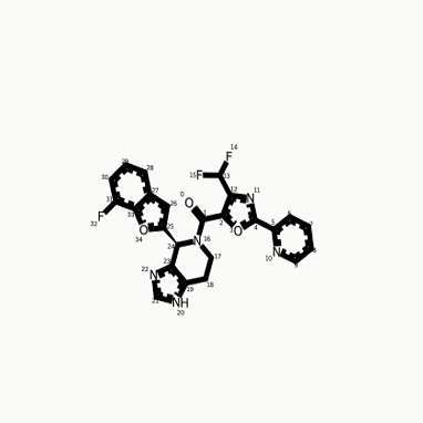 O=C(c1oc(-c2ccccn2)nc1C(F)F)N1CCc2[nH]cnc2[C@H]1c1cc2cccc(F)c2o1